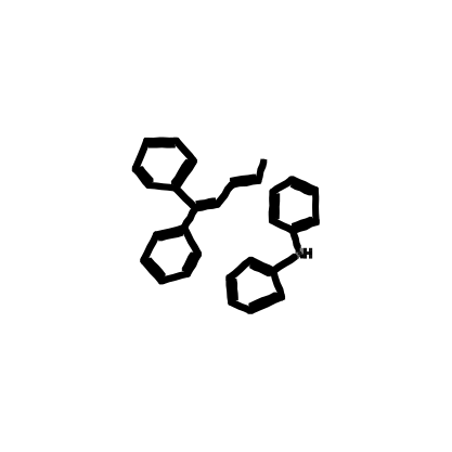 CC=CC=C(c1ccccc1)c1ccccc1.c1ccc(Nc2ccccc2)cc1